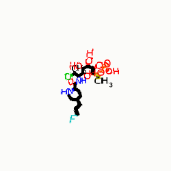 CSC1OC(C(NC(=O)C2CCC(CCCF)CCN2)C(C)Cl)C(O)C(O)C1OP(=O)(O)O